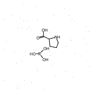 O=C(O)C1CCCN1.OB(O)O